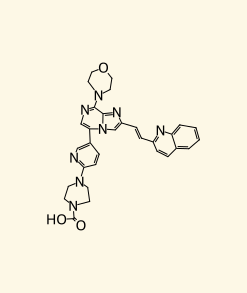 O=C(O)N1CCN(c2ccc(-c3cnc(N4CCOCC4)c4nc(C=Cc5ccc6ccccc6n5)cn34)cn2)CC1